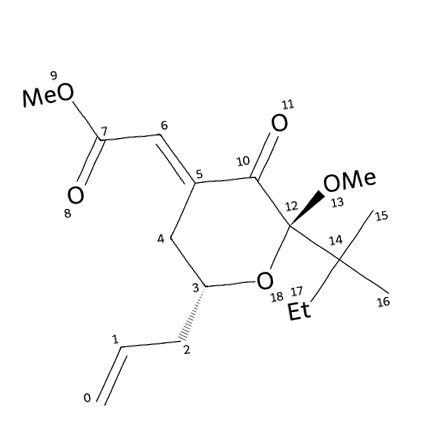 C=CC[C@@H]1C/C(=C\C(=O)OC)C(=O)[C@](OC)(C(C)(C)CC)O1